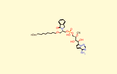 CCCCCCCCCCCCCCCCCCOC[C@H](COP(=O)(O)OC[C@@H](OC#N)[C@@H](O)[C@@H](O)c1ccc2c(N)ncnn12)N1Cc2ccccc2C1=O